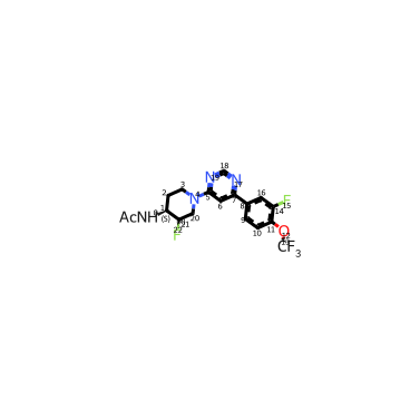 CC(=O)N[C@H]1CCN(c2cc(-c3ccc(OC(F)(F)F)c(F)c3)ncn2)C[C@H]1F